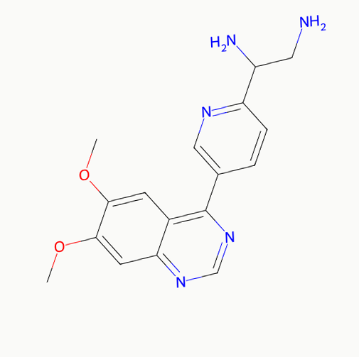 COc1cc2ncnc(-c3ccc(C(N)CN)nc3)c2cc1OC